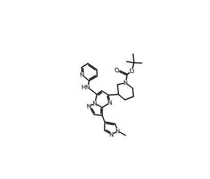 Cn1cc(-c2cnn3c(Nc4ccccn4)cc(C4CCCN(C(=O)OC(C)(C)C)C4)nc23)cn1